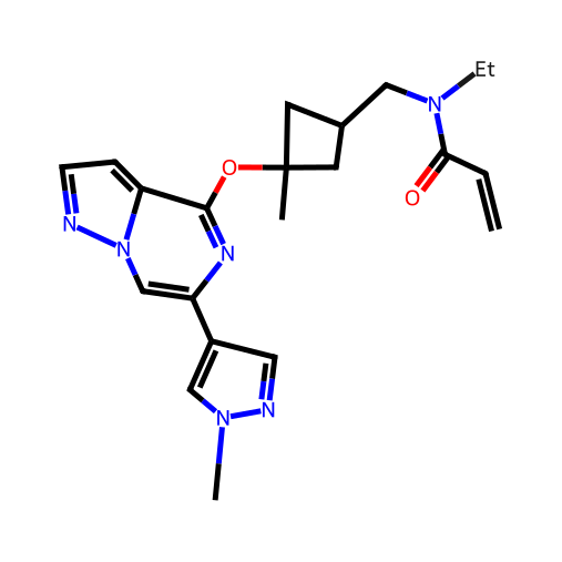 C=CC(=O)N(CC)CC1CC(C)(Oc2nc(-c3cnn(C)c3)cn3nccc23)C1